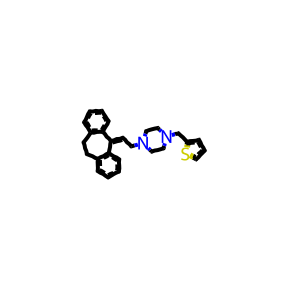 C(CN1CCN(Cc2cccs2)CC1)=C1c2ccccc2CCc2ccccc21